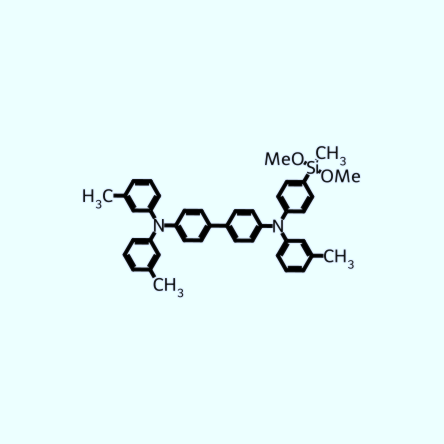 CO[Si](C)(OC)c1ccc(N(c2ccc(-c3ccc(N(c4cccc(C)c4)c4cccc(C)c4)cc3)cc2)c2cccc(C)c2)cc1